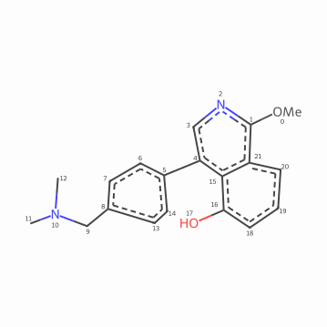 COc1ncc(-c2ccc(CN(C)C)cc2)c2c(O)cccc12